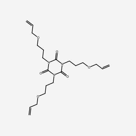 C=CCOCCCn1c(=O)n(CCCOCC=C)c(=O)n(CCCOCC=C)c1=O